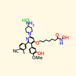 COc1ccc(-c2c(OCCCCCCC(=O)NO)cc(N3CCC(N)CC3)nc2-c2ccc(C#N)c(C)c2)cc1O.Cl